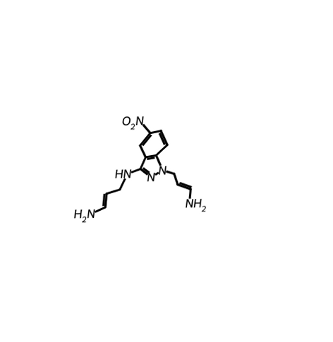 NC=CCNc1nn(CC=CN)c2ccc([N+](=O)[O-])cc12